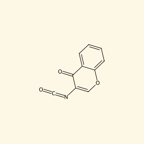 O=C=Nc1coc2ccccc2c1=O